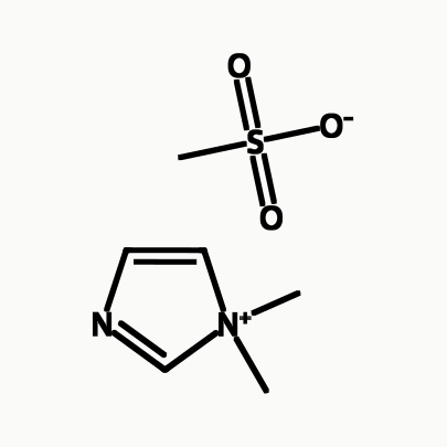 CS(=O)(=O)[O-].C[N+]1(C)C=CN=C1